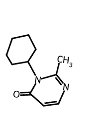 Cc1nccc(=O)n1C1CCCCC1